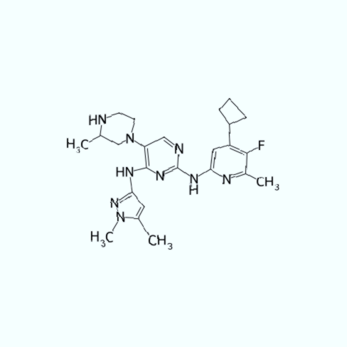 Cc1nc(Nc2ncc(N3CCNC(C)C3)c(Nc3cc(C)n(C)n3)n2)cc(C2CCC2)c1F